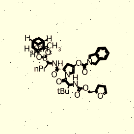 CCC[C@H](NC(=O)[C@@H]1C[C@@H](OC(=O)N2Cc3ccccc3C2)CN1C(=O)[C@@H](NC(=O)OC[C@H]1CCCO1)C(C)(C)C)B1O[C@@H]2C[C@@H]3C[C@@H](C3(C)C)[C@]2(C)O1